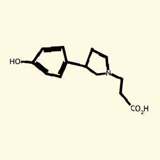 O=C(O)CCN1CCC(c2ccc(O)cc2)C1